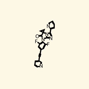 O=C1N(c2c(F)cc(C#Cc3cccnc3)cc2F)c2ncc(-c3ccccn3)n2C12CC2